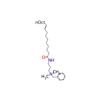 CCCCCCCC/C=C/CCCCCCCC(=O)NCCC[N+](C)(C)Cc1ccccc1